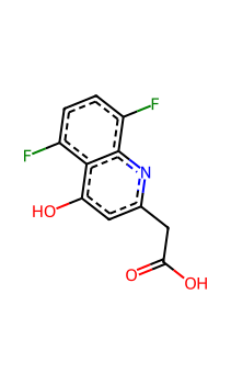 O=C(O)Cc1cc(O)c2c(F)ccc(F)c2n1